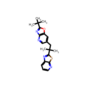 CC(C)(C)c1nc2ncc(CC(C)(C)c3nc4cccnc4s3)cc2o1